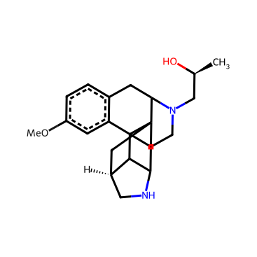 COc1ccc2c(c1)C13CCN(C[C@H](C)O)C(C2)C12CCC1NC[C@@H](C2)C13